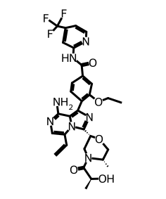 C=Cc1cnc(N)c2c(-c3ccc(C(=O)Nc4cc(C(F)(F)F)ccn4)cc3OCC)nc([C@H]3CN(C(=O)[C@H](C)O)[C@@H](C)CO3)n12